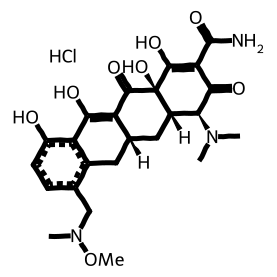 CON(C)Cc1ccc(O)c2c1C[C@H]1C[C@H]3[C@H](N(C)C)C(=O)C(C(N)=O)=C(O)[C@@]3(O)C(=O)C1=C2O.Cl